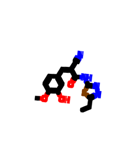 CCc1nnc(NC(=O)C(C#N)=Cc2ccc(OC)c(O)c2)s1